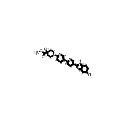 COC(=O)C1(O)CCN(c2ccc(-c3ccc(-c4nc5cc(Cl)ccc5[nH]4)cn3)cn2)CC1